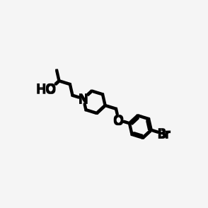 CC(O)CCN1CCC(COc2ccc(Br)cc2)CC1